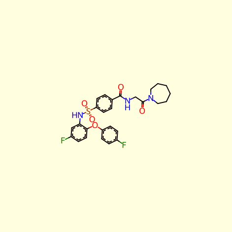 O=C(NCC(=O)N1CCCCCC1)c1ccc(S(=O)(=O)Nc2cc(F)ccc2Oc2ccc(F)cc2)cc1